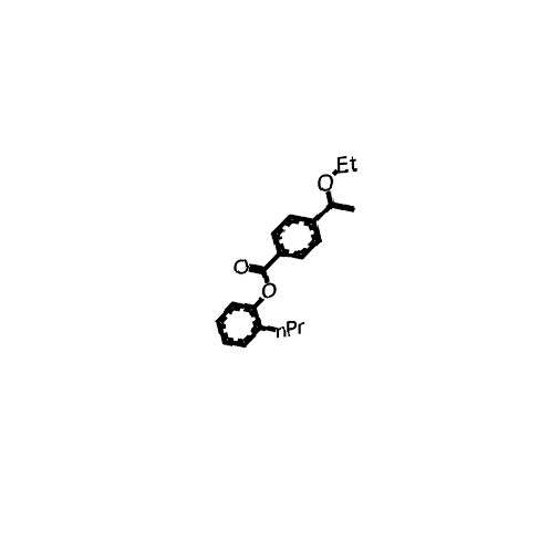 CCCc1ccccc1OC(=O)c1ccc(C(C)OCC)cc1